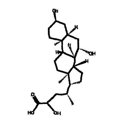 C[C@H](CC(O)C(=O)O)[C@H]1CC[C@H]2[C@@H]3[C@@H](O)C[C@@H]4C[C@H](O)CC[C@]4(C)[C@H]3CC[C@]12C